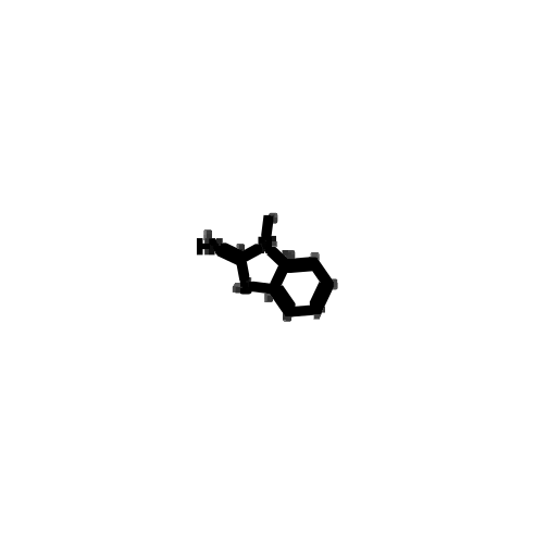 Cn1c(=N)sc2c[c]ccc21